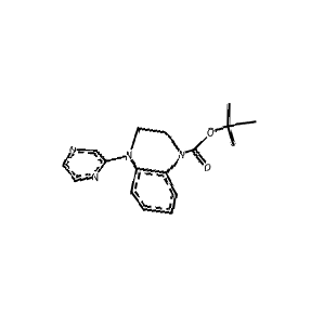 CC(C)(C)OC(=O)N1CCN(c2cnccn2)c2ccccc21